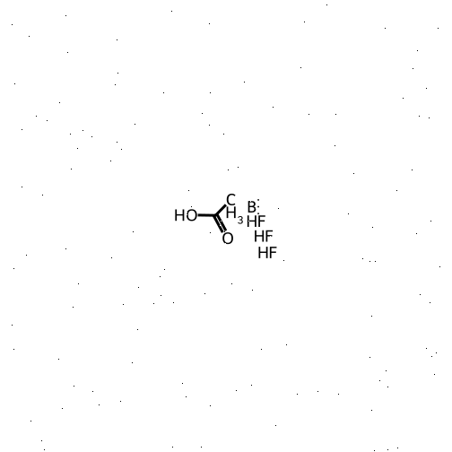 CC(=O)O.F.F.F.[B]